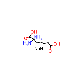 NC(N)(CCCCC(=O)O)C(=O)O.[NaH]